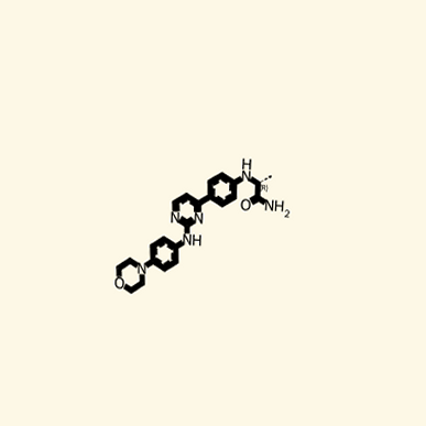 C[C@@H](Nc1ccc(-c2ccnc(Nc3ccc(N4CCOCC4)cc3)n2)cc1)C(N)=O